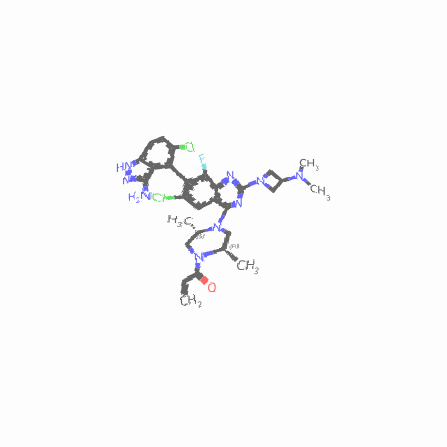 C=CC(=O)N1C[C@H](C)N(c2nc(N3CC(N(C)C)C3)nc3c(F)c(-c4c(Cl)ccc5[nH]nc(N)c45)c(Cl)cc23)C[C@H]1C